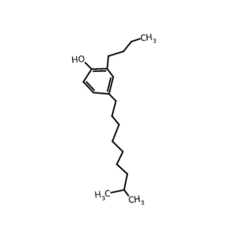 CCCCc1cc(CCCCCCCC(C)C)ccc1O